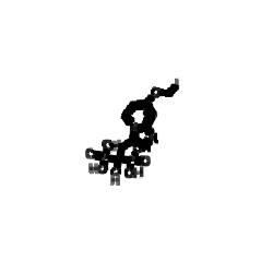 O=P(O)(O)C(O)(Cc1cnc2cc(OCI)ccn12)P(=O)(O)O